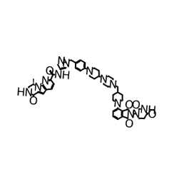 C[C@@H]1CNC(=O)c2cc3ccc(C(=O)Nc4cnn(Cc5ccc(N6CCC(N7CCN(CC8CCN(c9cccc%10c9C(=O)N(N9CCC(=O)NC9=O)C%10=O)CC8)CC7)CC6)cc5)c4)nc3n21